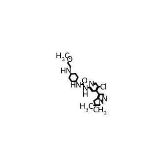 COCCNC1CCC(NC(=O)Nc2cc(-c3cnn4c3CC(C)(C)C4)c(Cl)cn2)CC1